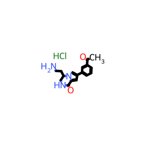 CC(=O)c1cccc(-c2cc3n(c2)C(CCN)CNC3=O)c1.Cl